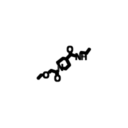 CCCNC(=O)C1CCN(C(=O)COCC)CC1